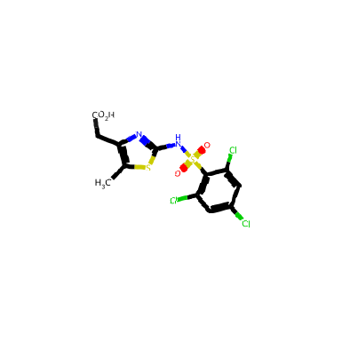 Cc1sc(NS(=O)(=O)c2c(Cl)cc(Cl)cc2Cl)nc1CC(=O)O